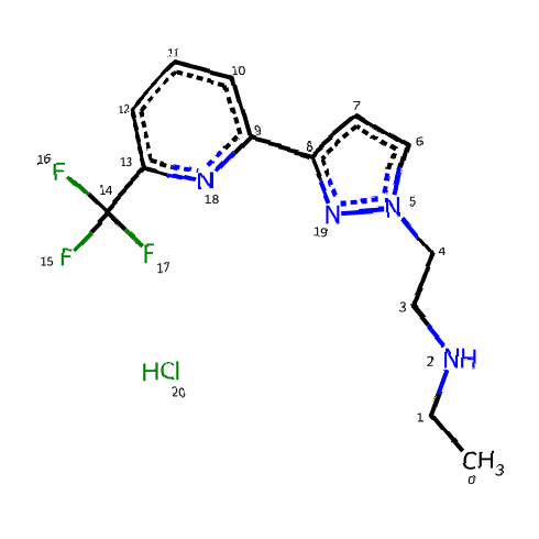 CCNCCn1ccc(-c2cccc(C(F)(F)F)n2)n1.Cl